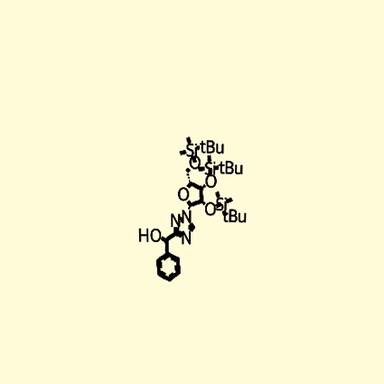 CC(C)(C)[Si](C)(C)OC[C@H]1O[C@@H](n2cnc(C(O)c3ccccc3)n2)[C@H](O[Si](C)(C)C(C)(C)C)[C@@H]1O[Si](C)(C)C(C)(C)C